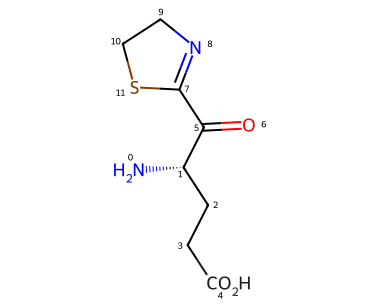 N[C@@H](CCC(=O)O)C(=O)C1=NCCS1